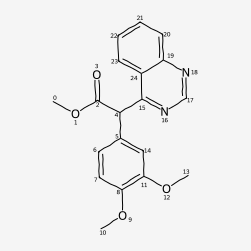 COC(=O)C(c1ccc(OC)c(OC)c1)c1ncnc2ccccc12